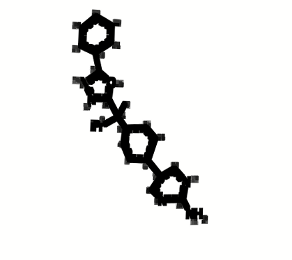 CC(C)C(C)(c1ccc(-c2cnc(N)nc2)cc1)c1nnc(-c2ccccc2)o1